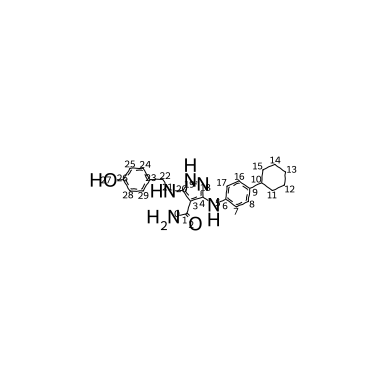 NC(=O)c1c(Nc2ccc(C3CCCCC3)cc2)n[nH]c1NCc1ccc(O)cc1